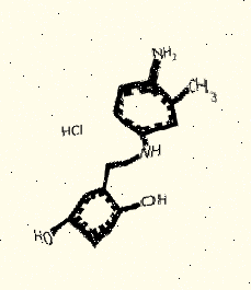 Cc1cc(NCc2cc(O)ccc2O)ccc1N.Cl